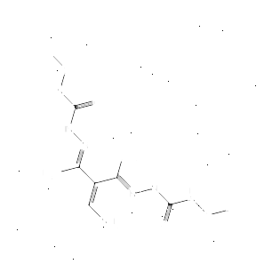 CCSNC(=O)N/N=C(\C)C(=CN)/C(C)=N/NC(=O)NSCC